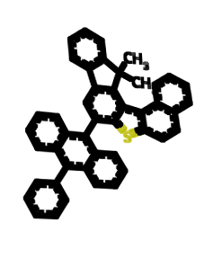 CC1(C)c2ccccc2-c2cc(-c3c4ccccc4c(-c4ccccc4)c4ccccc34)c3sc4ccc5ccccc5c4c3c21